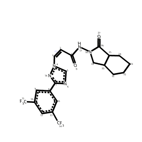 O=C(/C=C\n1cnc(-c2cc(C(F)(F)F)cc(C(F)(F)F)c2)n1)NN1CC2CCCCC2C1=O